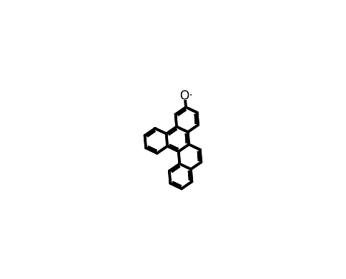 [O]c1ccc2c(c1)c1ccccc1c1c3ccccc3ccc21